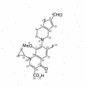 COc1c(N2CCc3sc(C=O)cc3C2)c(F)cc2c(=O)c(C(=O)O)cn(C3CC3)c12